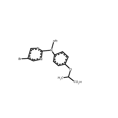 CCCN(c1ccc(OC(C)C(=O)O)cc1)c1ncc(Br)cn1